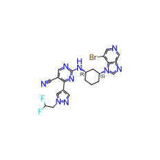 N#Cc1cnc(N[C@@H]2CCC[C@H](n3cnc4cncc(Br)c43)C2)nc1-c1cnn(CC(F)F)c1